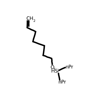 C=CCCCCCO[SiH](CCC)CCC